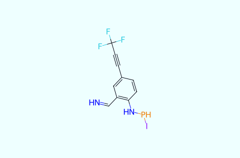 N=Cc1cc(C#CC(F)(F)F)ccc1NPI